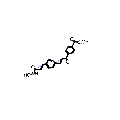 COC(=O)c1ccc(C(=O)/C=C/c2ccc(/C=C/C(=O)NO)cc2)cc1